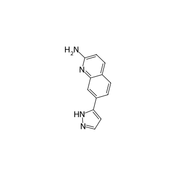 Nc1ccc2ccc(-c3ccn[nH]3)cc2n1